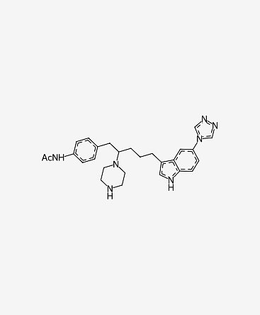 CC(=O)Nc1ccc(CC(CCCc2c[nH]c3ccc(-n4cnnc4)cc23)N2CCNCC2)cc1